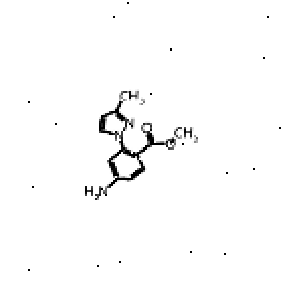 COC(=O)c1ccc(N)cc1-n1ccc(C)n1